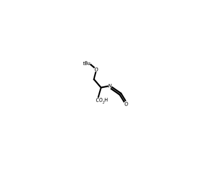 CC(C)(C)OCC(N=C=O)C(=O)O